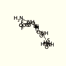 CC(C)(COC(C)(C)Cc1cn(-c2cccc(C(=O)NC(CCCCN)C(=O)COc3c(F)cccc3F)c2)nn1)NC(=O)CCCC[C@@H]1SC[C@@H]2NC(=O)N[C@@H]21